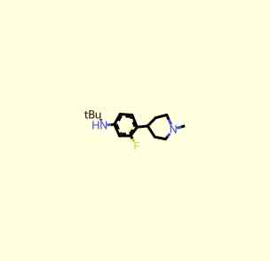 CN1CCC(c2ccc(NC(C)(C)C)cc2F)CC1